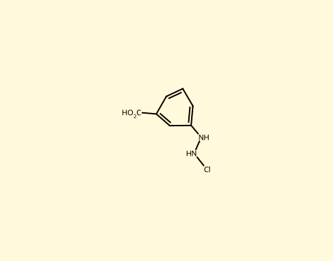 O=C(O)c1cccc(NNCl)c1